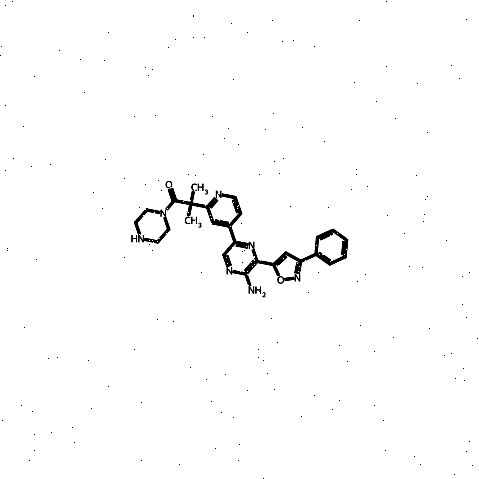 CC(C)(C(=O)N1CCNCC1)c1cc(-c2cnc(N)c(-c3cc(-c4ccccc4)no3)n2)ccn1